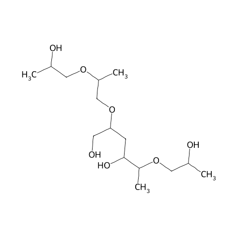 CC(O)COC(C)COC(CO)CC(O)C(C)OCC(C)O